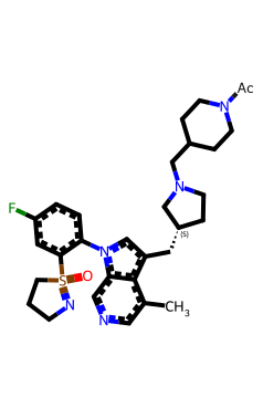 CC(=O)N1CCC(CN2CC[C@H](Cc3cn(-c4ccc(F)cc4S4(=O)=NCCC4)c4cncc(C)c34)C2)CC1